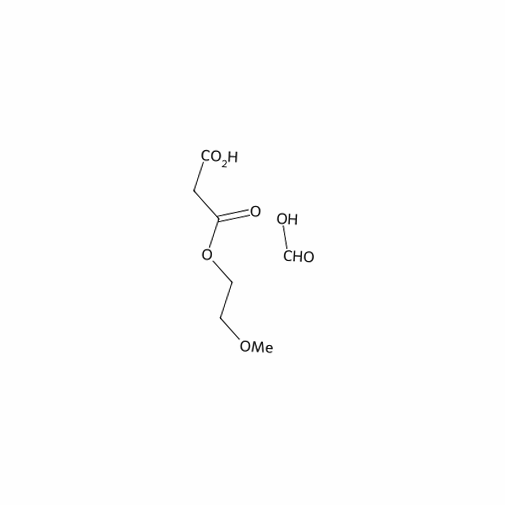 COCCOC(=O)CC(=O)O.O=CO